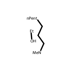 CCCCCCCCNC.CCO